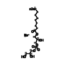 CCCCCCCCCCCCCCCCCC(=O)OC[C@@H](O)COP(=O)([O-])OCC(O)CO.[Na+]